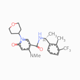 CNc1cc(=O)n(C2CCOCC2)cc1C(=O)N[C@H](C)c1cccc(C(F)(F)F)c1C